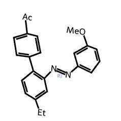 CCc1ccc(-c2ccc(C(C)=O)cc2)c(/N=N/c2cccc(OC)c2)c1